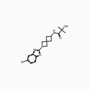 CC(C)(O)C(=O)NC1CC2(C1)CN(c1nc3cc(Cl)ccc3o1)C2